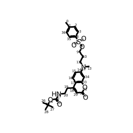 Cc1ccc(S(=O)(=O)OCCCN(C)c2ccc3c(CCNC(=O)OC(C)(C)C)cc(=O)oc3c2)cc1